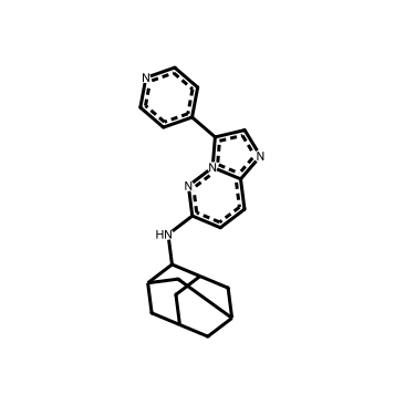 c1cc(-c2cnc3ccc(NC4C5CC6CC(C5)CC4C6)nn23)ccn1